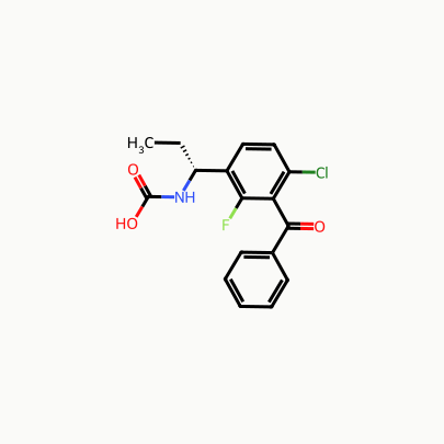 CC[C@@H](NC(=O)O)c1ccc(Cl)c(C(=O)c2ccccc2)c1F